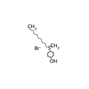 CCCCCCCCCC[S+](C)c1ccc(O)cc1.[Br-]